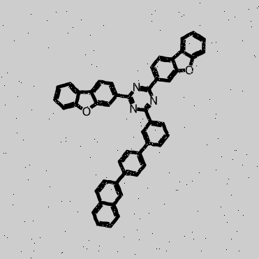 c1cc(-c2ccc(-c3ccc4ccccc4c3)cc2)cc(-c2nc(-c3ccc4c(c3)oc3ccccc34)nc(-c3ccc4c(c3)oc3ccccc34)n2)c1